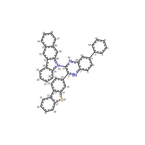 c1ccc(-c2ccc3nc(-c4ccc5c(c4)sc4ccccc45)c(-n4c5ccccc5c5cc6ccccc6cc54)nc3c2)cc1